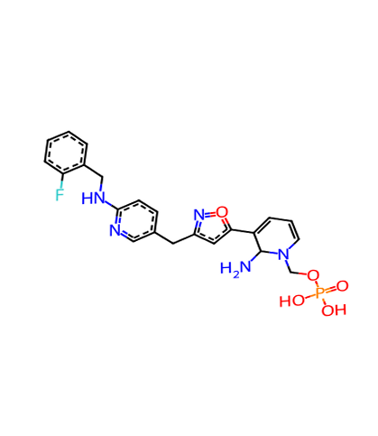 NC1C(c2cc(Cc3ccc(NCc4ccccc4F)nc3)no2)=CC=CN1COP(=O)(O)O